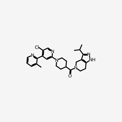 Cc1cccnc1-c1cc(N2CCC(C(=O)N3CCc4[nH]nc(C(C)C)c4C3)CC2)ncc1Cl